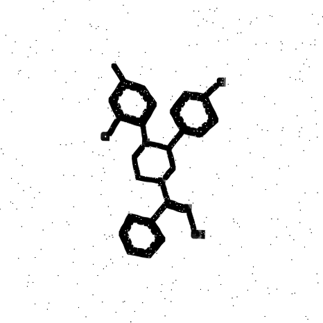 Cc1ccc(N2CCN(C(=NO)c3ccccc3)CC2c2ccc(Cl)cc2)c(Cl)c1